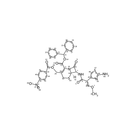 CO/N=C(/C(=O)NC1C(=O)N2C(C(=O)OC(c3ccccc3)c3ccccc3)=C(COC(=O)c3ccc([N+](=O)[O-])cc3)CS[C@H]12)c1csc(N)n1